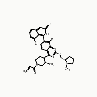 C=CC(=O)N1CCN(c2nc(OC[C@@H]3CCCN3C)nc3c(F)c(-c4[nH]c(=O)cc5cccc(Cl)c45)ccc23)[C@@H](C)C1